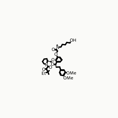 CCC(C)(C)C(=O)C(=O)N1CCCC[C@H]1C(=O)O[C@H](CCc1ccc(OC)c(OC)c1)c1cccc(OCC(=O)N(C)CCCCCO)c1